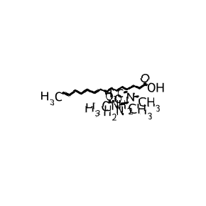 CC(N)=O.CCCCCCCCCCCCCCCC(=O)O.CCN(CC)C(C)C(N)=O